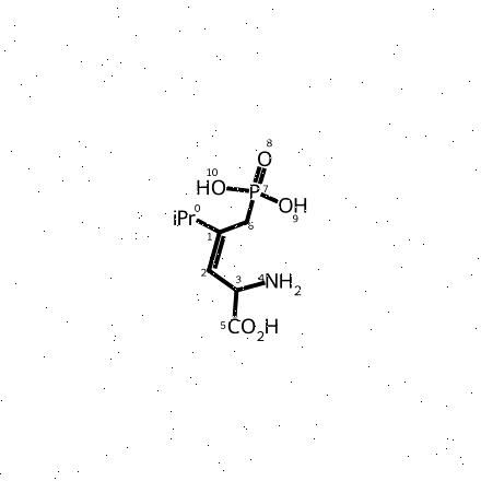 CC(C)C(=CC(N)C(=O)O)CP(=O)(O)O